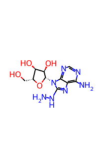 NNc1nc2c(N)ncnc2n1[C@@H]1O[C@H](CO)[C@@H](O)[C@H]1O